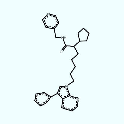 O=C(NCc1ccncc1)C(CCCCCn1cc(-c2ccccc2)c2cccnc21)C1CCCC1